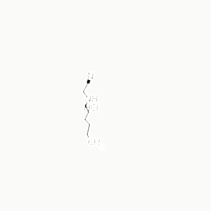 CCCCCCNCC#N.Cl